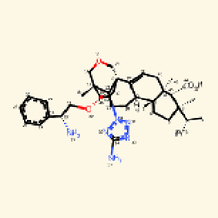 CC(C)[C@@H](C)[C@@]1(C)CC[C@]2(C)[C@H]3CC[C@@H]4[C@@]5(COC[C@@]4(C)[C@@H](OC[C@H](N)c4ccccc4)[C@H](n4nnc(N)n4)C5)C3=CC[C@@]2(C)[C@@H]1C(=O)O